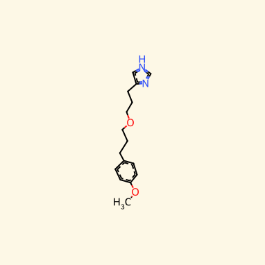 COc1ccc(CCCOCCCc2c[nH]cn2)cc1